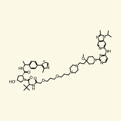 COC1(CCN2CCN(CCCOCCCOCC(=O)NC(C(=O)N3C[C@H](O)C[C@H]3C(=O)NC(C)c3ccc(-c4scnc4C)cc3)C(C)(C)C)CC2)CCN(c2nccc(Nc3cc4c(cn3)nc(C)n4C(C)C)n2)CC1